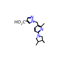 Cc1nc(N2CC(C)C(C)C2)ccc1Cn1cc(C(=O)O)cn1